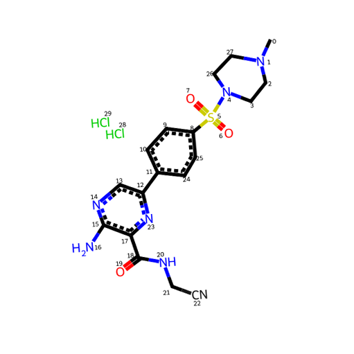 CN1CCN(S(=O)(=O)c2ccc(-c3cnc(N)c(C(=O)NCC#N)n3)cc2)CC1.Cl.Cl